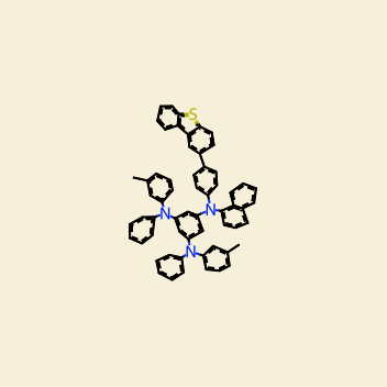 Cc1cccc(N(c2ccccc2)c2cc(N(c3ccccc3)c3cccc(C)c3)cc(N(c3ccc(-c4ccc5sc6ccccc6c5c4)cc3)c3cccc4ccccc34)c2)c1